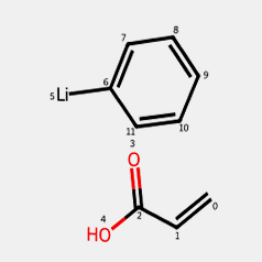 C=CC(=O)O.[Li][c]1ccccc1